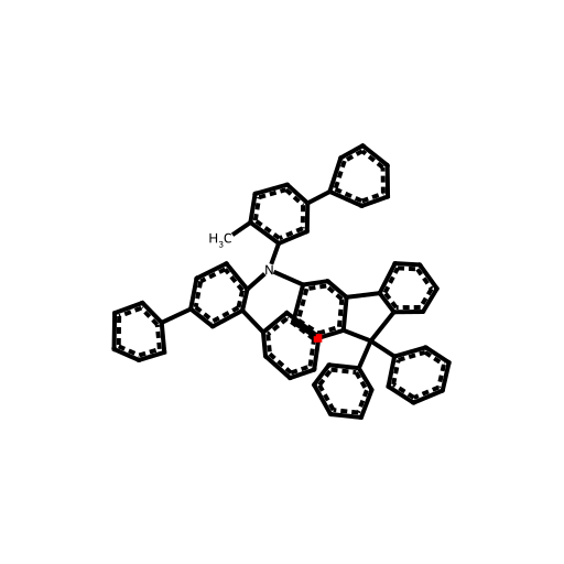 Cc1ccc(-c2ccccc2)cc1N(c1ccc2c(c1)-c1ccccc1C2(c1ccccc1)c1ccccc1)c1ccc(-c2ccccc2)cc1-c1ccccc1